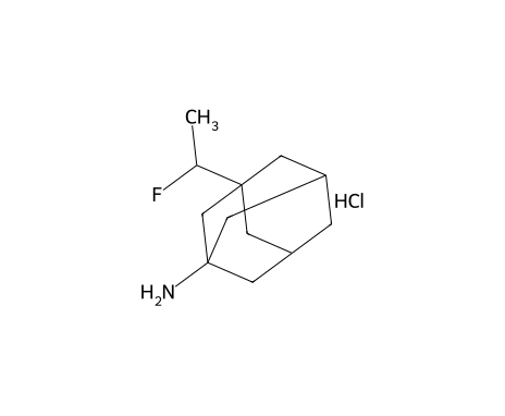 CC(F)C12CC3CC(CC(N)(C3)C1)C2.Cl